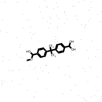 OC(O)c1ccc(C(c2ccc(C(O)OI)cc2)(C(F)(F)F)C(F)(F)F)cc1